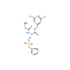 CC(C)(C)OC(=O)N[C@@H](CCS(=O)(=O)Cc1ccccc1)C(=O)OCc1cc(Cl)nc(Cl)c1